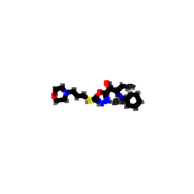 CC(C)CC(C(=O)c1nnc(SCCCN2CCOCC2)o1)N(C=O)C1CCCCC1